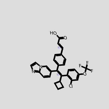 O=C(O)/C=C/c1ccc(/C(=C(\c2ccc(OC(F)(F)F)cc2Cl)C2CCC2)c2ccc3nccn3c2)cc1